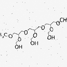 COCC(COCC(COCC(COC)OCO)OCO)OCO